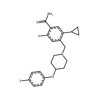 NC(=O)c1cc(C2CC2)c(CN2CCC(Oc3ccc(F)cc3)CC2)cc1F